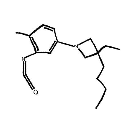 CCCCC1(CC)CN(c2ccc(C)c(N=C=O)c2)C1